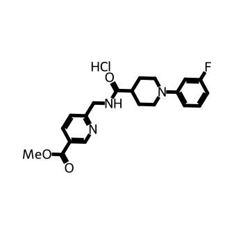 COC(=O)c1ccc(CNC(=O)C2CCN(c3cccc(F)c3)CC2)nc1.Cl